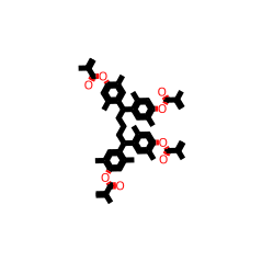 C=C(C)C(=O)Oc1cc(C)c(C(CCCC(c2cc(C)c(OC(=O)C(=C)C)cc2C)c2cc(C)c(OC(=O)C(=C)C)cc2C)c2cc(C)c(OC(=O)C(=C)C)cc2C)cc1C